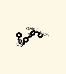 COc1cc2c(cc1C(=O)c1cccc(C(F)(F)F)n1)=CC(C1CCC(O)(CN(C)C(=O)OCc3ccccc3)CC1)N=2